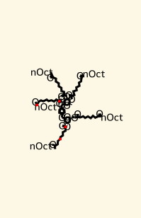 CCCCCCCCOC(C)CCCCCCCC(=O)O[C@@H]1CC(Oc2ccc(OC3O[C@H](C)[C@@H](OC(=O)CCCCCCCC4OC4CCCCCCCC)[C@H](OC(=O)CCCCCCCC4OC4CCCCCCCC)[C@H]3OC(=O)CCCCCCCC3OC3CCCCCCCC)cc2)O[C@H](COC(=O)CCCCCCCC2OC2CCCCCCCC)C1